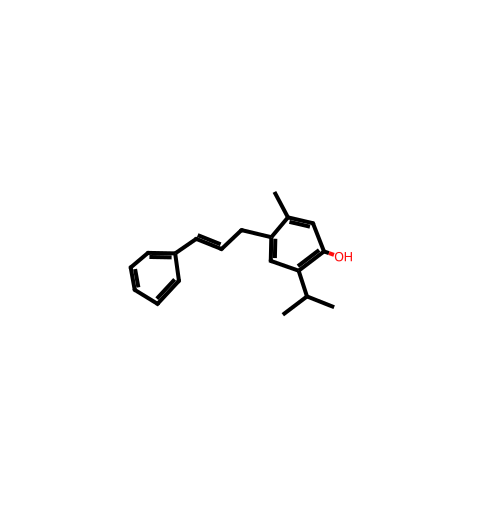 Cc1cc(O)c(C(C)C)cc1CC=Cc1ccccc1